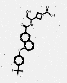 O=C(NC(CO)C1CN(C(=O)O)C1)c1ccc2c(Oc3ccc(C(F)(F)F)cc3)cccc2c1